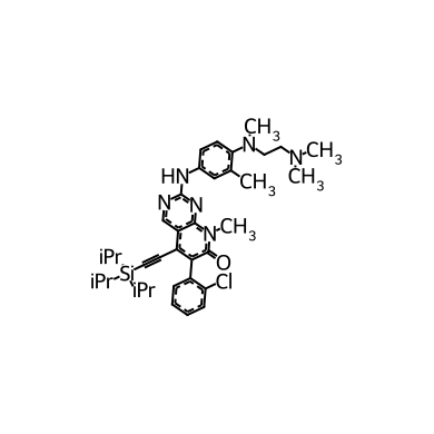 Cc1cc(Nc2ncc3c(C#C[Si](C(C)C)(C(C)C)C(C)C)c(-c4ccccc4Cl)c(=O)n(C)c3n2)ccc1N(C)CCN(C)C